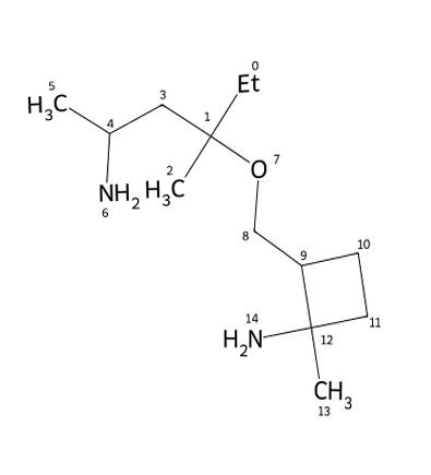 CCC(C)(CC(C)N)OCC1CCC1(C)N